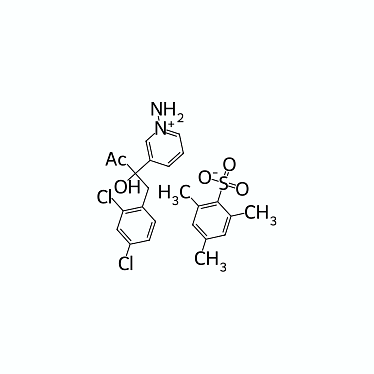 CC(=O)C(O)(Cc1ccc(Cl)cc1Cl)c1ccc[n+](N)c1.Cc1cc(C)c(S(=O)(=O)[O-])c(C)c1